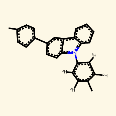 [2H]c1c([2H])c(-n2c3ccccc3c3cc(-c4ccc(C)cc4)ccc32)c([2H])c([2H])c1C